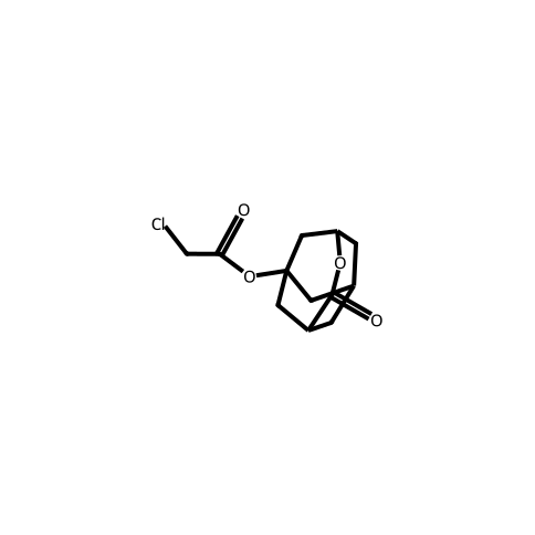 O=C(CCl)OC12CC3CC(C1)OC(=O)C(C3)C2